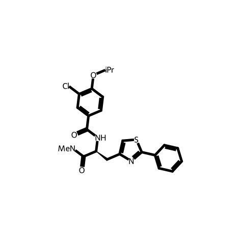 CNC(=O)[C@H](Cc1csc(-c2ccccc2)n1)NC(=O)c1ccc(OC(C)C)c(Cl)c1